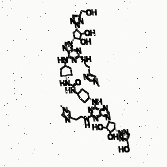 Cn1cnc(CCNc2nc(N[C@H]3CC[C@H](NC(=O)N[C@H]4CC[C@H](Nc5nc(NCCc6cn(C)cn6)nc6c5ncn6[C@@H]5C[C@H](n6ncc(CO)n6)[C@@H](O)[C@H]5O)CC4)CC3)c3ncn([C@@H]4C[C@H](n5ncc(CO)n5)[C@@H](O)[C@H]4O)c3n2)c1